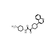 C[C@H]1CC[C@H](NC(=O)C(=O)N2CCC(c3ccnc4ccccc34)CC2)CC1